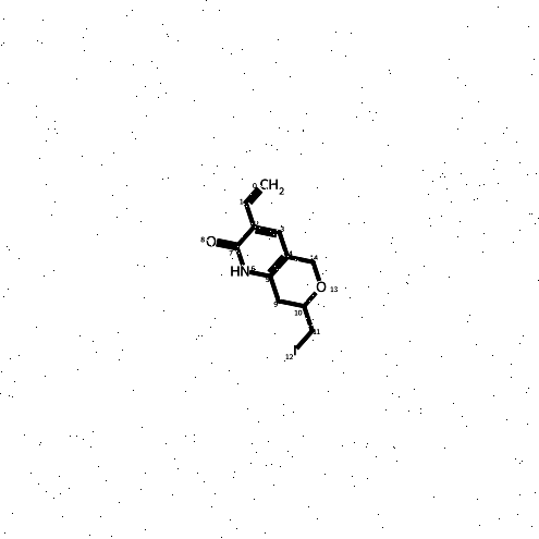 C=Cc1cc2c([nH]c1=O)CC(CI)OC2